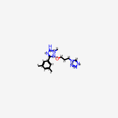 Cc1cc(C)cc(C2=NNN(C)N2OCCCn2cnnn2)c1